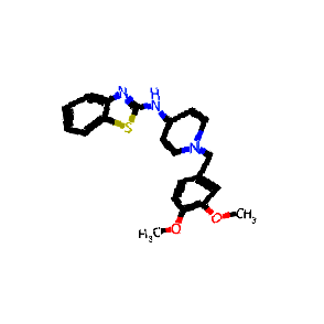 COc1ccc(CN2CCC(Nc3nc4ccccc4s3)CC2)cc1OC